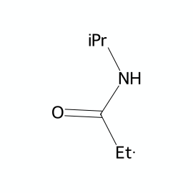 C[CH]C(=O)NC(C)C